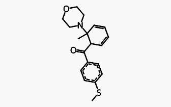 CSc1ccc(C(=O)C2C=CC=CC2(C)N2CCOCC2)cc1